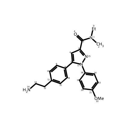 CCN(C)C(=O)c1cc(-c2ccc(CCN)cc2)n(-c2ccc(OC)cc2)n1